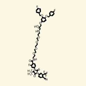 CC1(C)C(=O)N(c2ccc(C#N)c(C(F)(F)F)c2)C(=S)N1c1ccc(C(=O)NCCOCCOCCOCCOCCNC[C@@H](O)COc2ccc(OCc3ccc(F)cc3)c(OCc3ccc(F)cc3)c2)c(F)c1